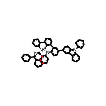 c1ccc(-c2nc(N3B4c5c(cccc5-c5ccccc53)-c3cc(-c5ccc6c(c5)c5ccccc5n6-c5ccccc5)ccc3N4c3ccccc3)nc3ccccc23)cc1